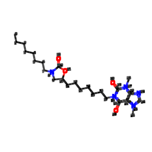 CCCCCCCCN1CC(CCCCCCCn2c(=O)c3c(ncn3C)n(C)c2=O)OC1=O